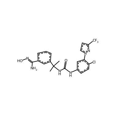 CC(C)(NC(=O)Nc1ccc(Cl)c(-n2ccc(C(F)(F)F)n2)c1)c1cccc(/C(N)=N/O)c1